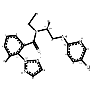 CCN(C(=O)c1cccc(C)c1-n1nccn1)[C@@H](C)CNc1ccc(Cl)cn1